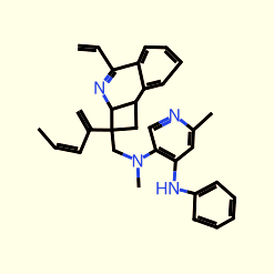 C=CC1=NC2C(CC2(CN(C)c2cnc(C)cc2Nc2ccccc2)C(=C)/C=C\C)c2ccccc21